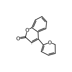 O=c1[c]c(C2=CC=CCO2)c2ccccc2o1